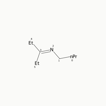 CCCCN=C(CC)CC